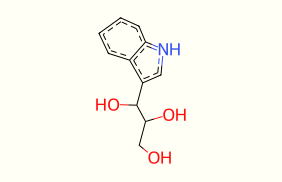 OCC(O)C(O)c1c[nH]c2ccccc12